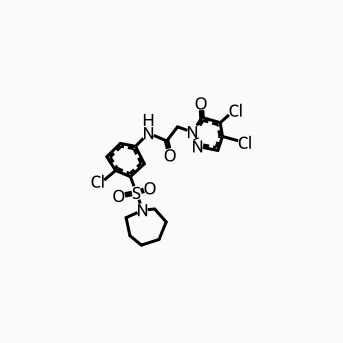 O=C(Cn1ncc(Cl)c(Cl)c1=O)Nc1ccc(Cl)c(S(=O)(=O)N2CCCCCC2)c1